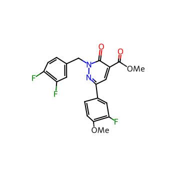 COC(=O)c1cc(-c2ccc(OC)c(F)c2)nn(Cc2ccc(F)c(F)c2)c1=O